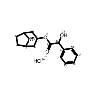 CN1C2CCC1CC(OC(=O)C(O)c1ccccc1)C2.Cl